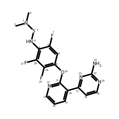 CN(C)SNc1c(F)cc(Oc2ncccc2-c2ccnc(N)n2)c(F)c1F